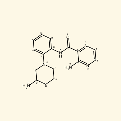 Nc1nccnc1C(=O)Nc1ccccc1N1CCCC(N)C1